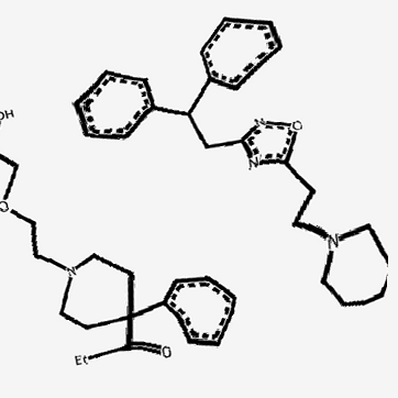 CCC(=O)C1(c2ccccc2)CCN(CCOCCO)CC1.c1ccc(C(Cc2noc(CCN3CCCCC3)n2)c2ccccc2)cc1